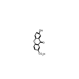 O=C(O)c1ccc2oc3ccc(O)cc3c(=O)c2c1